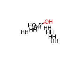 O=S(=O)(O)O.[HH].[HH].[HH].[HH].[HH].[HH].[HH]